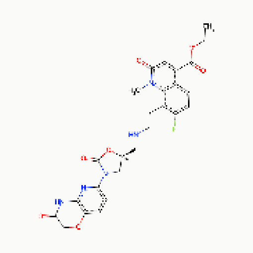 CCOC(=O)c1cc(=O)n(C)c2c(CCNC[C@H]3CN(c4ccc5c(n4)NC(=O)CO5)C(=O)O3)c(F)ccc12